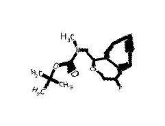 CN(CC1OCC(F)c2ccccc21)C(=O)OC(C)(C)C